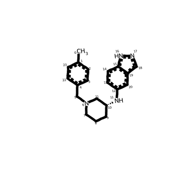 Cc1ccc(CN2CCC[C@@H](Nc3ccc4[nH]ncc4c3)C2)cc1